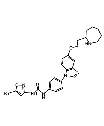 CC(C)(C)c1cc(NC(=O)Nc2ccc(-n3cnc4cc(OCCC5CCCCCN5)ccc43)cc2)no1